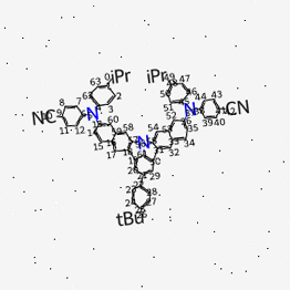 CC(C)c1ccc(N(c2ccc(C#N)cc2)c2ccc3cc4c5cc(-c6ccc(C(C)(C)C)cc6)cc6c7cc8ccc(N(c9ccc(C#N)cc9)c9ccc(C(C)C)cc9)cc8cc7n(c4cc3c2)c56)cc1